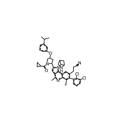 Cc1nc2c(F)c(-c3cccc(Cl)c3Cl)c(CCC#N)cc2c2c1cc(C1CC(Oc3cccc(C(C)C)c3)CN1C(=O)C1CC1)n2C1C2CNC1C2